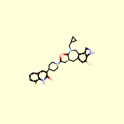 Bc1cc2c(c3cn[nH]c13)CN(CC1CC1)C(=O)[C@H](CC(=O)N1CCC(c3cc4cccc(F)c4[nH]c3=O)CC1)C2